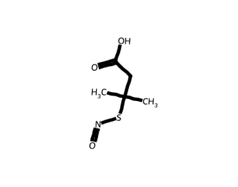 CC(C)(CC(=O)O)SN=O